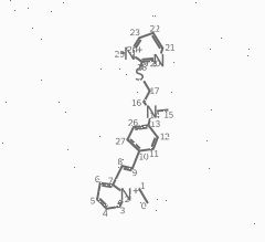 CC[n+]1ccccc1/C=C/c1ccc(N(C)CCSc2nccc[n+]2C)cc1